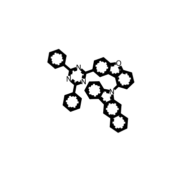 c1ccc(-c2nc(-c3ccccc3)nc(-c3ccc4oc5cccc(-n6c7ccccc7c7cc8ccccc8cc76)c5c4c3)n2)cc1